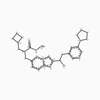 CCC(Cc1cncc(N2CCCC2)c1)c1cn2cc(CN(CC3CCC3)C(=O)OC(C)(C)C)ccc2n1